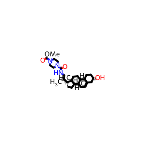 COC(=O)N1CCN(C(=O)NC[C@@H](C)[C@H]2CC[C@H]3[C@@H]4CC=C5C[C@@H](O)CC[C@]5(C)[C@H]4CC[C@]23C)CC1